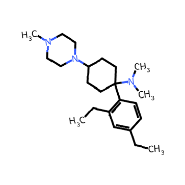 CCc1ccc(C2(N(C)C)CCC(N3CCN(C)CC3)CC2)c(CC)c1